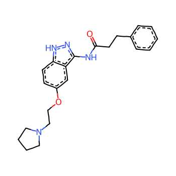 O=C(CCc1ccccc1)Nc1n[nH]c2ccc(OCCN3CCCC3)cc12